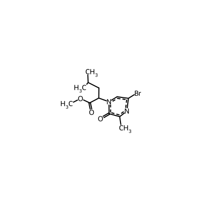 COC(=O)C(CC(C)C)n1cc(Br)nc(C)c1=O